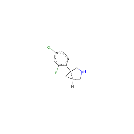 Fc1cc(Cl)ccc1C12CNC[C@H]1C2